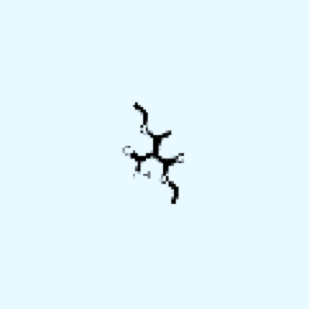 CCOC(=O)/C(C(=O)O)=C(\C)OCC